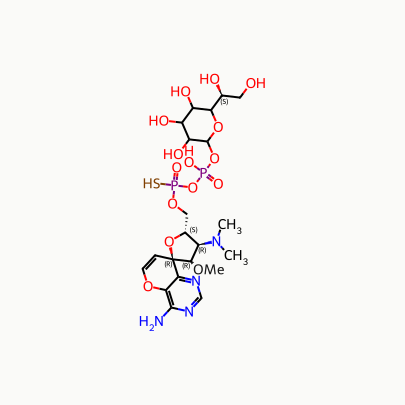 CO[C@@H]1[C@H](N(C)C)[C@@H](COP(=O)(S)OP(=O)(O)OC2OC([C@@H](O)CO)C(O)C(O)C2O)O[C@@]12C=COc1c(N)ncnc12